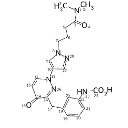 CN(C)C(=O)CCCn1cc(-n2ccc(=O)c(Cc3cccc(NC(=O)O)c3)n2)cn1